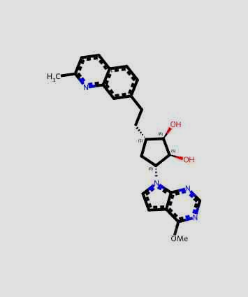 COc1ncnc2c1ccn2[C@@H]1C[C@H](CCc2ccc3ccc(C)nc3c2)[C@@H](O)[C@H]1O